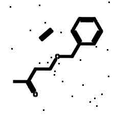 C=C.CC(=O)CCOCc1ccccc1